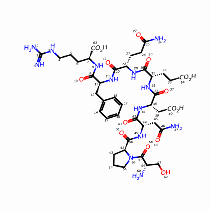 N=C(N)NCCC[C@H](NC(=O)[C@H](Cc1ccccc1)NC(=O)[C@H](CCC(N)=O)NC(=O)[C@H](CCC(=O)O)NC(=O)[C@H](CC(=O)O)NC(=O)[C@H](CC(N)=O)NC(=O)[C@@H]1CCCN1C(=O)[C@@H](N)CO)C(=O)O